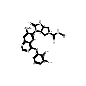 COc1cc2ncnc(Nc3cccc(Cl)c3F)c2cc1N1C(=O)OC2CN(C(=O)OC(C)(C)C)CC21